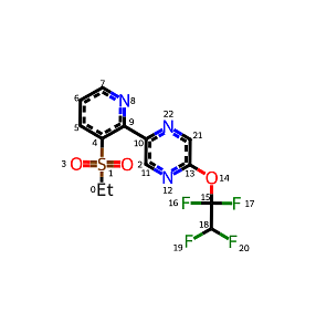 CCS(=O)(=O)c1cccnc1-c1cnc(OC(F)(F)C(F)F)cn1